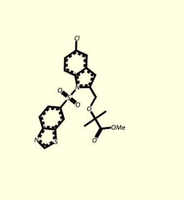 COC(=O)C(C)(C)OCc1cc2cc(Cl)ccc2n1S(=O)(=O)c1ccc2ncsc2c1